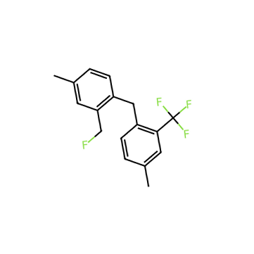 Cc1ccc(Cc2ccc(C)cc2C(F)(F)F)c(CF)c1